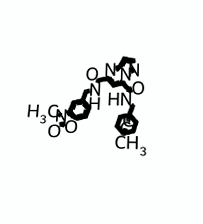 Cn1c(=O)oc2ccc(CNC(=O)c3cc(C(=O)NCC45CCC(C)(CC4)CC5)n4nccc4n3)cc21